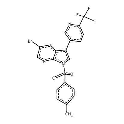 Cc1ccc(S(=O)(=O)n2cc(-c3ccc(C(F)(F)F)nc3)c3cc(Br)cnc32)cc1